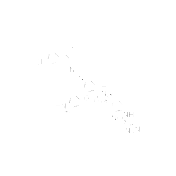 Cn1cncc1CNc1ccc(S(=O)(=O)NC(=O)c2ccc(N3CCN(CC4=C(c5ccc(Cl)cc5)CC(C)(C)CC4)CC3)cc2Oc2ccc3[nH]ccc3c2)cc1[N+](=O)[O-]